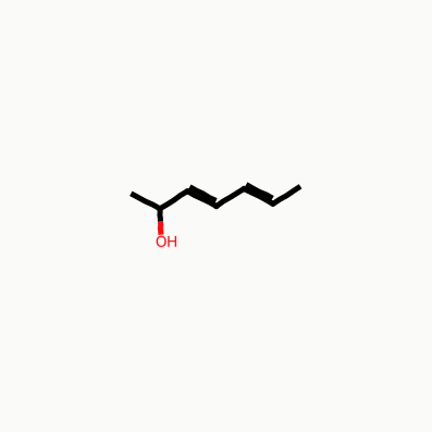 CC=CC=CC(C)O